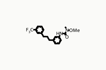 CON(C)C(=O)Nc1cccc(CCCc2cccc(C(F)(F)F)c2)c1